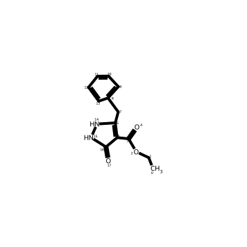 CCOC(=O)c1c(Cc2ccccc2)[nH][nH]c1=O